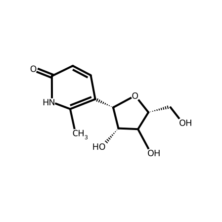 Cc1[nH]c(=O)ccc1[C@@H]1O[C@H](CO)C(O)[C@@H]1O